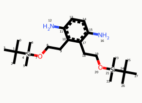 CC(C)(C)[Si](C)(C)OCCc1c(N)ccc(N)c1CCO[Si](C)(C)C(C)(C)C